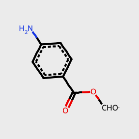 Nc1ccc(C(=O)O[C]=O)cc1